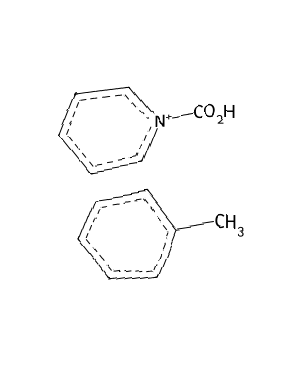 Cc1ccccc1.O=C(O)[n+]1ccccc1